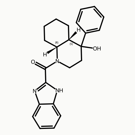 O=C(c1nc2ccccc2[nH]1)N1CCC(O)(c2ccccc2)[C@H]2CCCC[C@H]21